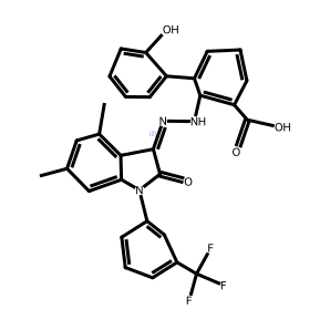 Cc1cc(C)c2c(c1)N(c1cccc(C(F)(F)F)c1)C(=O)/C2=N\Nc1c(C(=O)O)cccc1-c1ccccc1O